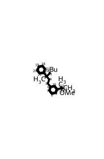 CCC(C)CC(C)(CCc1cccc(C(C)(C)OC)c1)c1ccccc1